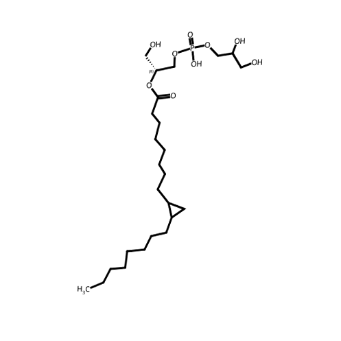 CCCCCCCCC1CC1CCCCCCCC(=O)O[C@H](CO)COP(=O)(O)OCC(O)CO